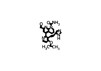 CC(C)Oc1ccnc(-c2cc(C=O)nc3c2CCCN3C(N)=O)c1C#Cc1cnc[nH]1